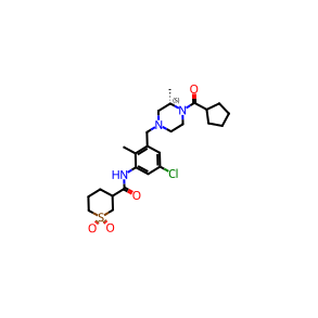 Cc1c(CN2CCN(C(=O)C3CCCC3)[C@@H](C)C2)cc(Cl)cc1NC(=O)C1CCCS(=O)(=O)C1